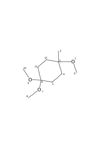 COC1(C)CCC(OC)(OC)CC1